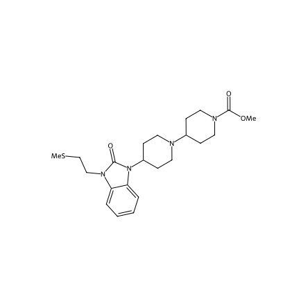 COC(=O)N1CCC(N2CCC(n3c(=O)n(CCSC)c4ccccc43)CC2)CC1